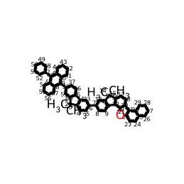 CC1(C)c2ccc(-c3ccc4c(c3)C(C)(C)c3ccc5c(oc6ccc7ccccc7c65)c3-4)cc2-c2ccc(-c3c4ccccc4c(-c4ccccc4)c4ccccc34)cc21